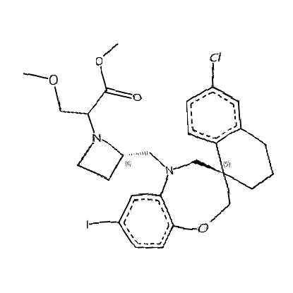 COCC(C(=O)OC)N1CC[C@H]1CN1C[C@@]2(CCCc3cc(Cl)ccc32)COc2ccc(I)cc21